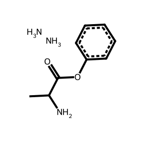 CC(N)C(=O)Oc1ccccc1.N.N